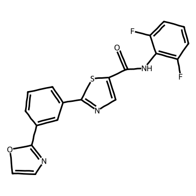 O=C(Nc1c(F)cccc1F)c1cnc(-c2cccc(-c3ncco3)c2)s1